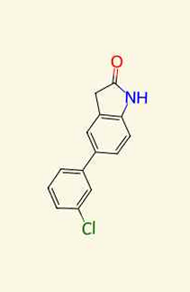 O=C1Cc2cc(-c3cccc(Cl)c3)ccc2N1